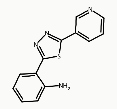 Nc1ccccc1-c1nnc(-c2cccnc2)s1